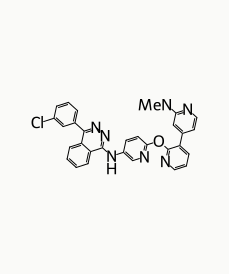 CNc1cc(-c2cccnc2Oc2ccc(Nc3nnc(-c4cccc(Cl)c4)c4ccccc34)cn2)ccn1